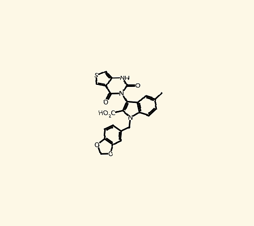 Cc1ccc2c(c1)c(-n1c(=O)[nH]c3cscc3c1=O)c(C(=O)O)n2Cc1ccc2c(c1)OCO2